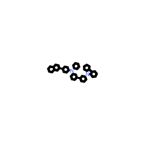 c1ccc(N(c2ccc(-c3ccc4ccccc4c3)cc2)c2cccc(-c3cccc(-n4c5ccccc5c5ccccc54)c3)c2)cc1